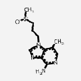 Cc1cnc(N)c2ncn(CCC[S+](C)[O-])c12